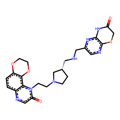 O=C1CSc2ncc(CNC[C@@H]3CCN(CCn4c(=O)cnc5ccc6c(c54)OCCO6)C3)nc2N1